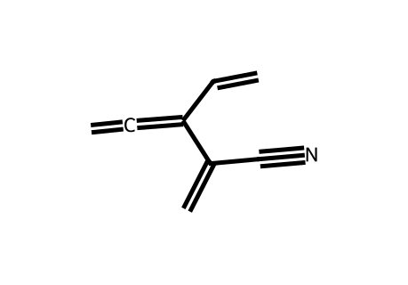 C=C=C(C=C)C(=C)C#N